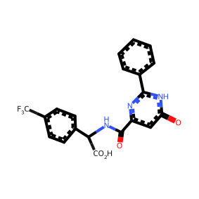 O=C(NC(C(=O)O)c1ccc(C(F)(F)F)cc1)c1cc(=O)[nH]c(-c2ccccc2)n1